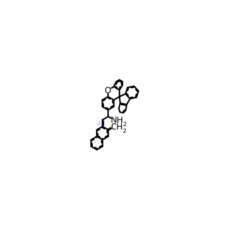 C=c1cc2ccccc2c/c1=C/C(N)c1ccc2c(c1)C1(C3=C(C=CCC3)c3ccccc31)c1ccccc1O2